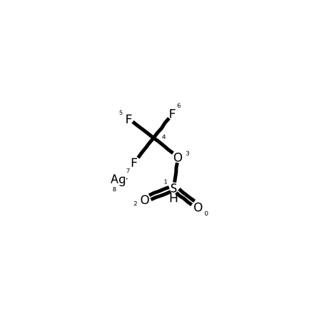 O=[SH](=O)OC(F)(F)F.[Ag]